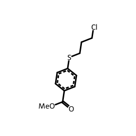 COC(=O)c1ccc(SCCCCl)cc1